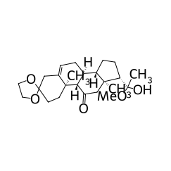 COC(C)(O)[C@H]1CC[C@H]2[C@@H]3CC=C4CC5(CC[C@]4(C)[C@H]3C(=O)C[C@]12C)OCCO5